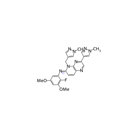 COc1cc(/N=c2\ccc3ncc(-c4cnn(C)c4)nc3n2Cc2cnn(C)c2)c(F)c(OC)c1